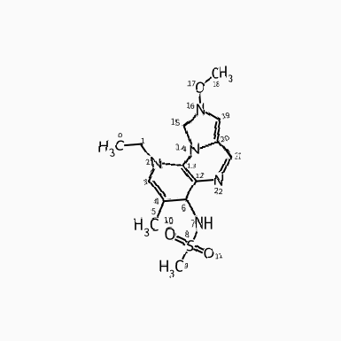 CCN1C=C(C)C(NS(C)(=O)=O)C2=C1N1CN(OC)C=C1C=N2